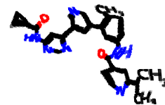 Cc1ccc(NC(=O)c2ccnc(C(C)C)c2)cc1-c1cncc(-c2cc(NC(=O)C3CC3)ncn2)c1